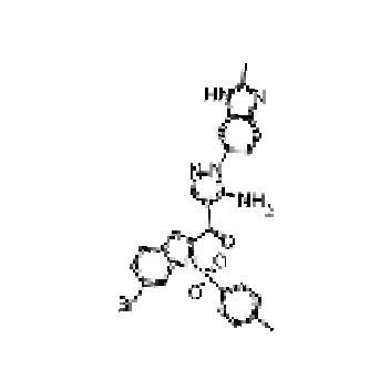 Cc1ccc(S(=O)(=O)n2c(C(=O)c3cnn(-c4ccc5nc(C)[nH]c5c4)c3N)cc3ccc(Br)cc32)cc1